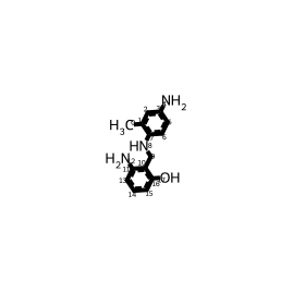 Cc1cc(N)ccc1NCc1c(N)cccc1O